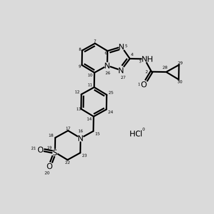 Cl.O=C(Nc1nc2cccc(-c3ccc(CN4CCS(=O)(=O)CC4)cc3)n2n1)C1CC1